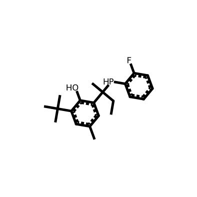 CCC(C)(Pc1ccccc1F)c1cc(C)cc(C(C)(C)C)c1O